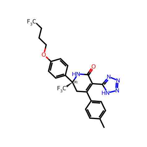 Cc1ccc(C2=C(c3nnn[nH]3)C(=O)N[C@](c3ccc(OCCCC(F)(F)F)cc3)(C(F)(F)F)C2)cc1